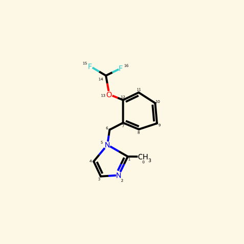 Cc1nccn1Cc1ccccc1OC(F)F